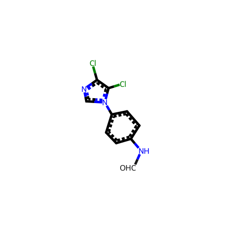 O=CNc1ccc(-n2cnc(Cl)c2Cl)cc1